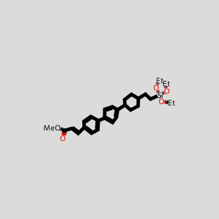 CCO[Si](CCC1CCC(c2ccc(-c3ccc(C=CC(=O)OC)cc3)cc2)CC1)(OCC)OCC